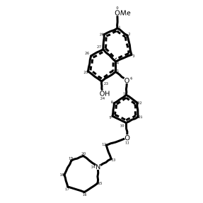 COc1ccc2c(Oc3ccc(OCCN4CCCCCC4)cc3)c(O)ccc2c1